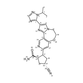 CC(C)n1ncnc1-c1cn2c(n1)-c1cnc(C3C[C@H](C#N)C[C@H]3C(N)=O)cc1OCC2